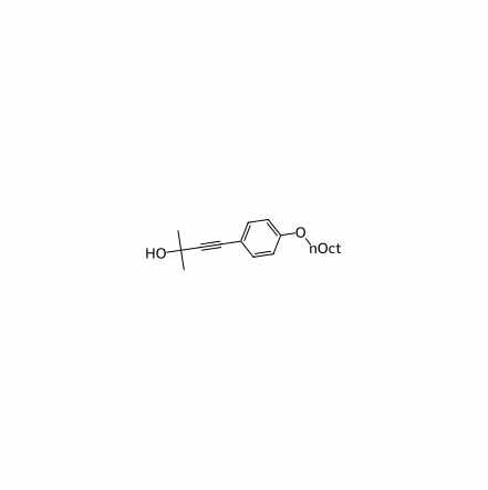 CCCCCCCCOc1ccc(C#CC(C)(C)O)cc1